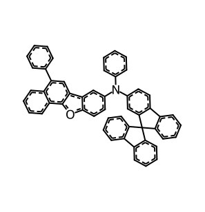 c1ccc(-c2cc3c4cc(N(c5ccccc5)c5ccc6c(c5)C5(c7ccccc7-c7ccccc75)c5ccccc5-6)ccc4oc3c3ccccc23)cc1